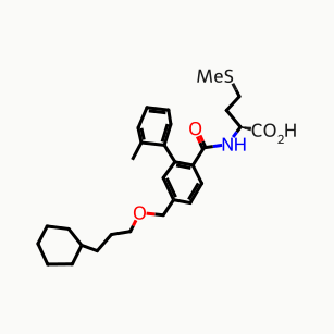 CSCC[C@H](NC(=O)c1ccc(COCCCC2CCCCC2)cc1-c1ccccc1C)C(=O)O